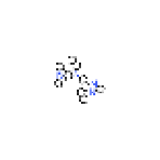 c1ccc2c(-c3nc4ccccc4nc3-c3ccc(-n4c5ccc6ccccc6c5c5c6c7ccccc7n7c8ccccc8c(cc54)c67)cc3)cccc2c1